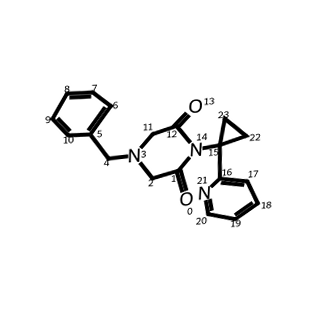 O=C1CN(Cc2ccccc2)CC(=O)N1C1(c2ccccn2)CC1